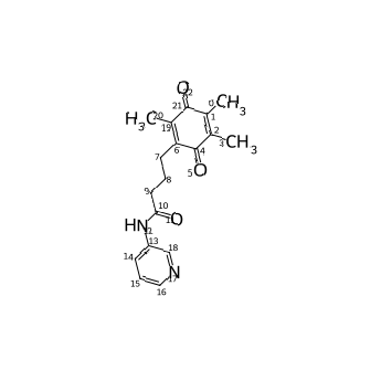 CC1=C(C)C(=O)C(CCCC(=O)Nc2cccnc2)=C(C)C1=O